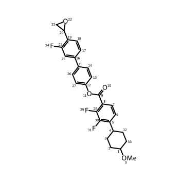 COC1CCC(c2ccc(C(=O)Oc3ccc(-c4ccc(C5CO5)c(F)c4)cc3)c(F)c2F)CC1